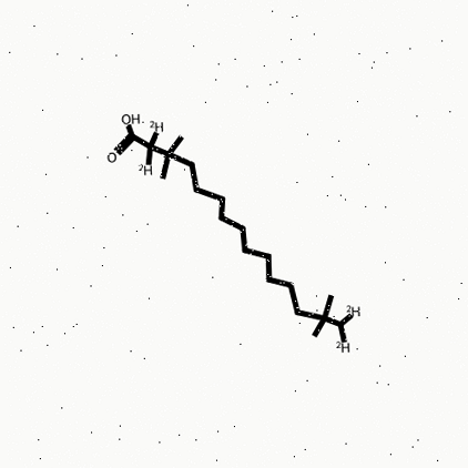 [2H]C([2H])C(C)(C)CCCCCCCCCCC(C)(C)C([2H])([2H])C(=O)O